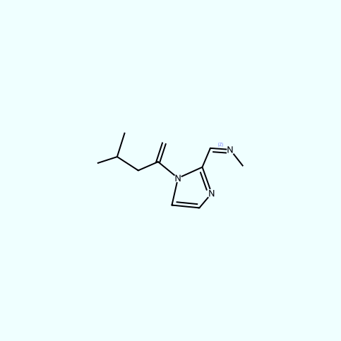 C=C(CC(C)C)n1ccnc1/C=N\C